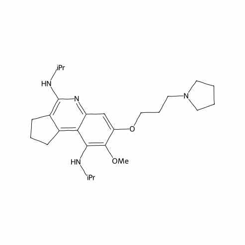 COc1c(OCCCN2CCCC2)cc2nc(NC(C)C)c3c(c2c1NC(C)C)CCC3